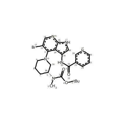 CN(C(=O)OC(C)(C)C)[C@@H]1CCCN(c2c(Br)cnc3[nH]cc(NC(=O)c4cccnc4)c23)C1